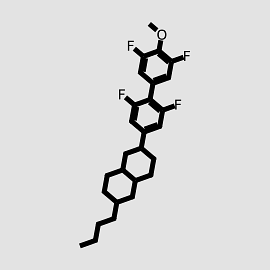 CCCCC1CCC2CC(c3cc(F)c(-c4cc(F)c(OC)c(F)c4)c(F)c3)CCC2C1